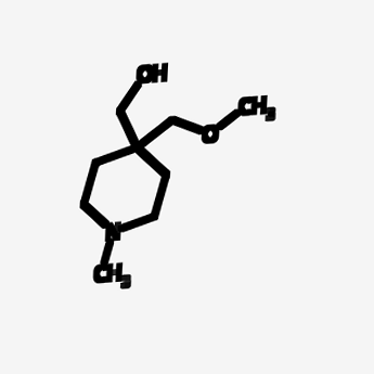 COCC1(CO)CCN(C)CC1